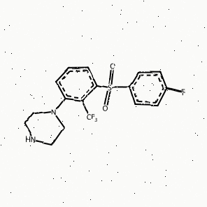 O=S(=O)(c1ccc(F)cc1)c1cccc(N2CCNCC2)c1C(F)(F)F